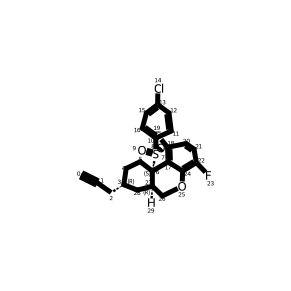 C#CC[C@@H]1CC[C@@]2(S(=O)(=O)c3ccc(Cl)cc3)c3c(F)ccc(F)c3OC[C@H]2C1